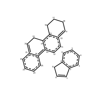 C1=Cc2ccccc2C1.C1=c2ccc3c(c2CCC1)CC=c1ccccc1=3